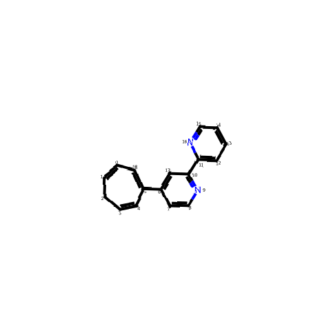 C1=CCC=CC(c2ccnc(-c3ccccn3)c2)=C1